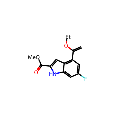 C=C(OCC)c1cc(F)cc2[nH]c(C(=O)OC)cc12